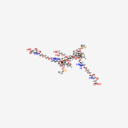 CPCOC(=O)C(C)(CC(C)(C)C(=O)OCC(C)(COC(=O)C(C)(C)CC(C)(CC(C)(Br)C(=O)OCC1=CN(CCOCCOCCC(=O)N[C@H](C=O)CCC(=O)O)NN1)C(=O)OCPC)C(=O)OCCOCC(O)CO)CC(C)(Br)C(=O)OCC1=CN(CCOCCCOCCC(=O)N[C@H](C=O)CCC(=O)O)NN1